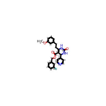 COc1cccc(CCC2=C(C(=O)OCc3cccc(F)c3)C(c3ccncc3)NC(=O)N2)c1